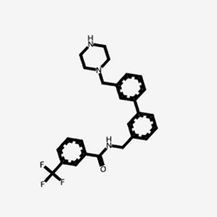 O=C(NCc1cccc(-c2cccc(CN3CCNCC3)c2)c1)c1cccc(C(F)(F)F)c1